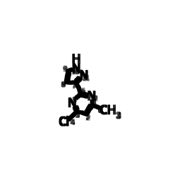 Cc1cc(Cl)nc(-c2cc[nH]n2)n1